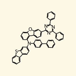 c1ccc(-c2ccc(N(c3ccc4c(c3)sc3ccccc34)c3cccc4oc5cc(-c6nc(-c7ccccc7)nc(-c7ccccc7)n6)ccc5c34)cc2)cc1